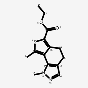 CCOC(=O)c1sc(C)c2c1CCc1cnn(C)c1-2